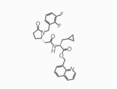 O=C(C[C@@H]1CCC(=O)N1Cc1cccc(F)c1F)N[C@@H](CC1CC1)C(=O)OCc1cccc2cccnc12